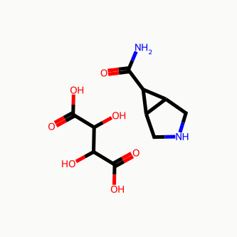 NC(=O)C1C2CNCC21.O=C(O)C(O)C(O)C(=O)O